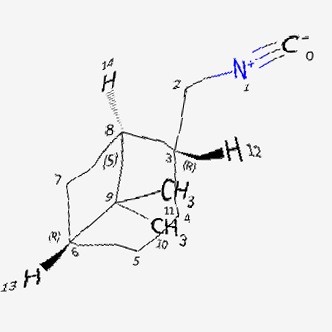 [C-]#[N+]C[C@@H]1CC[C@@H]2C[C@@H]1C2(C)C